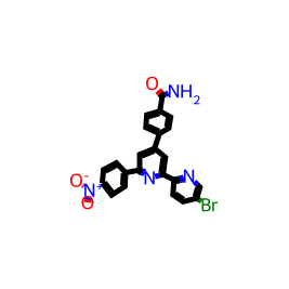 NC(=O)c1ccc(-c2cc(-c3ccc([N+](=O)[O-])cc3)nc(-c3ccc(Br)cn3)c2)cc1